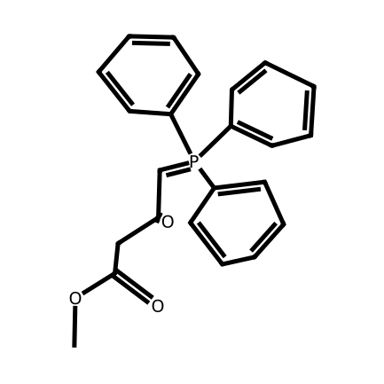 COC(=O)CC(=O)C=P(c1ccccc1)(c1ccccc1)c1ccccc1